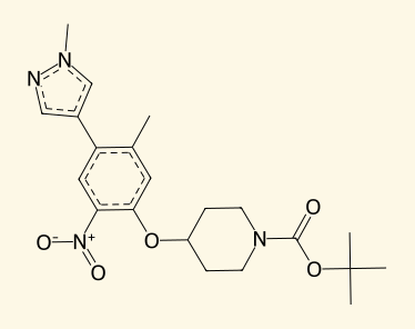 Cc1cc(OC2CCN(C(=O)OC(C)(C)C)CC2)c([N+](=O)[O-])cc1-c1cnn(C)c1